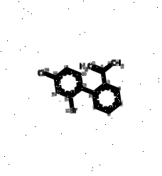 C=C(C)c1ccccc1-c1ccc(Cl)cc1Br